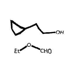 CCOC=O.OCCC1CC1